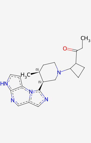 CCC(=O)C1CCC1N1CC[C@H](C)[C@H](c2ncc3cnc4[nH]ccc4n23)C1